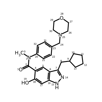 CN(C(=O)c1cc2c(CC3CCCC3)n[nH]c2cc1O)c1ccc(CN2CCOCC2)cc1